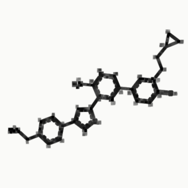 CNCc1ccc(-c2cc(-c3nc(-c4ccc(=O)n(CCC5CC5)c4)cnc3N)on2)cc1